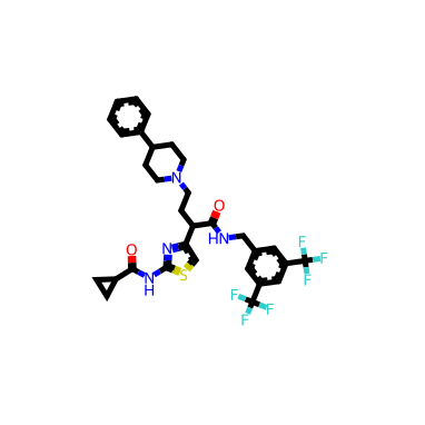 O=C(Nc1nc(C(CCN2CCC(c3ccccc3)CC2)C(=O)NCc2cc(C(F)(F)F)cc(C(F)(F)F)c2)cs1)C1CC1